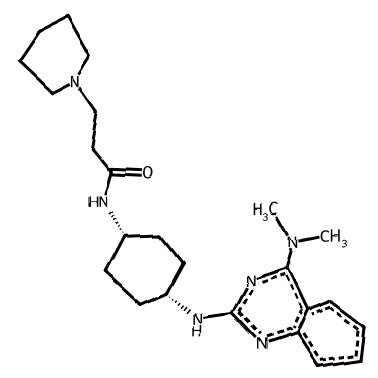 CN(C)c1nc(N[C@H]2CC[C@@H](NC(=O)CCN3CCCCC3)CC2)nc2ccccc12